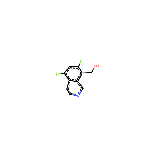 OCc1c(F)cc(F)c2ccncc12